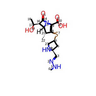 CNN=C[C@@H]1C[C@H](SC2=C(C(=O)O)N3C(=O)[C@H](C(C)O)[C@H]3[C@H]2C)CN1